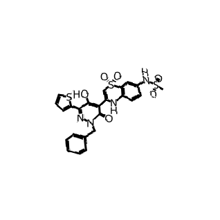 CS(=O)(=O)Nc1ccc2c(c1)S(=O)(=O)C=C(c1c(O)c(-c3cccs3)nn(Cc3ccccc3)c1=O)N2